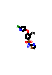 N#Cc1cc(S(=O)(=O)Nc2nccs2)ccc1Oc1ccc(F)nc1